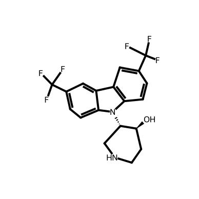 O[C@H]1CCNC[C@@H]1n1c2ccc(C(F)(F)F)cc2c2cc(C(F)(F)F)ccc21